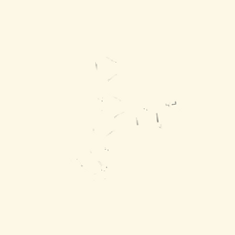 CC(C)(C)S(=O)(=O)Nc1ccc2nc(-c3ccccc3)cc(C(=O)NC(=N)N)c2c1